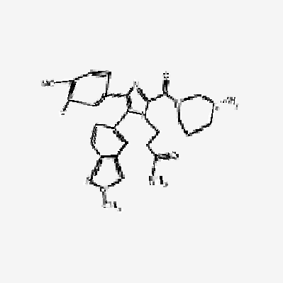 Cn1cc2cc(-c3c(-c4ccc(C#N)c(F)c4)nc(C(=O)N4CCC[C@@H](N)C4)n3CCC(N)=O)ccc2n1